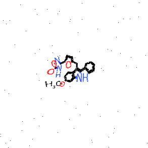 COc1ccc2c(Cc3ccc(-c4noc(=O)[nH]4)o3)c(-c3ccccc3)[nH]c2c1